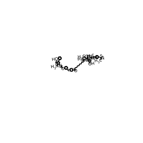 Cc1ncsc1-c1ccc([C@H](C)NC(=O)[C@@H]2C[C@@H](O)CN2C(=O)[C@@H](NC(=O)CCCCCCCCC(=O)N2CCN(Cc3cccc(OC4CN(c5cc(-c6ccccc6O)nnc5N)C4)c3)CC2)C(C)(C)C)cc1